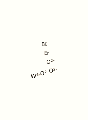 [Bi].[Er].[O-2].[O-2].[O-2].[W+6]